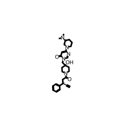 C#C[C@H](CC(=O)N1CCC(O)(Cn2cnc(N3CCC[C@H](N(C)C)C3)cc2=O)CC1)c1ccccc1